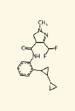 CN1CC(C(=O)Nc2ccccc2C2CC2C2CC2)C(C(F)F)=N1